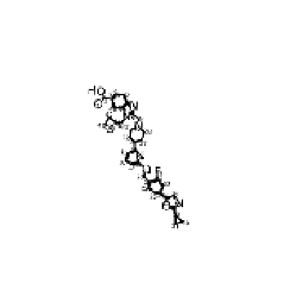 O=C(O)c1ccc2nc(CN3CCC(c4cccc(OCc5ccc(-c6cnc(C7CC7)o6)cc5F)n4)CC3)n(CC3CCO3)c2c1